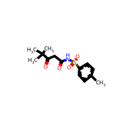 Cc1ccc(S(=O)(=O)NC(=O)CC(=O)C(C)(C)C)cc1